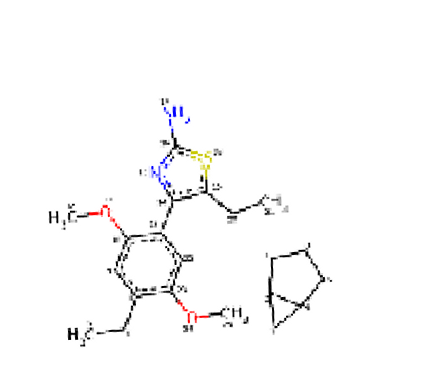 C1CC2CC2C1.CCc1cc(OC)c(-c2nc(N)sc2CC)cc1OC